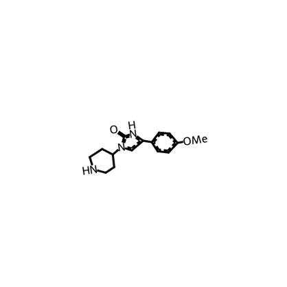 COc1ccc(-c2cn(C3CCNCC3)c(=O)[nH]2)cc1